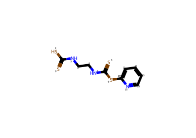 S=C(S)NCCNC(=S)Sc1ccccn1